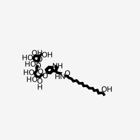 CC(O)CCCCCCCCCCCCCC(=O)NCCc1c[nH]c2ccc(O[C@H]3OC(CO[C@H]4OC(CO)[C@@H](O)C(O)C4O)[C@@H](O)C(O)C3O)cc12